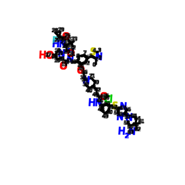 Cc1ncsc1-c1ccc(CNC(=O)[C@@H]2C[C@@H](O)CN2C(=O)[C@@H](NC(=O)C2(F)CC2)C(C)(C)C)c(OCCN2CCC(CCC(=O)Nc3cccc(Sc4cnc(N5CCC(C)(CN)CC5)cn4)c3Cl)CC2)c1